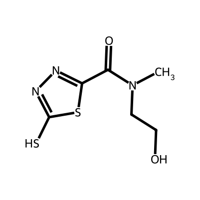 CN(CCO)C(=O)c1nnc(S)s1